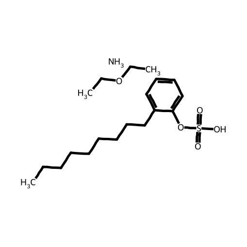 CCCCCCCCCc1ccccc1OS(=O)(=O)O.CCOCC.N